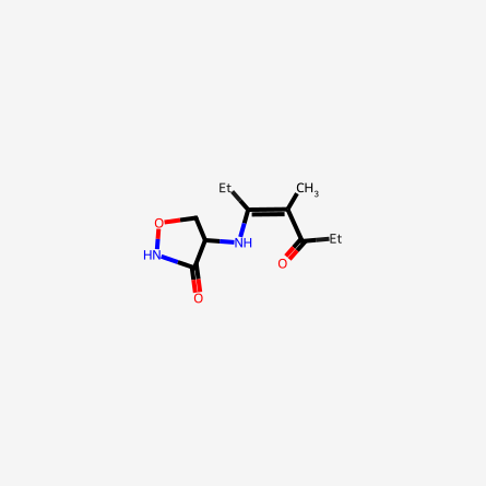 CCC(=O)C(C)=C(CC)NC1CONC1=O